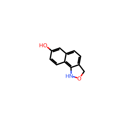 Oc1ccc2c3c(ccc2c1)CON3